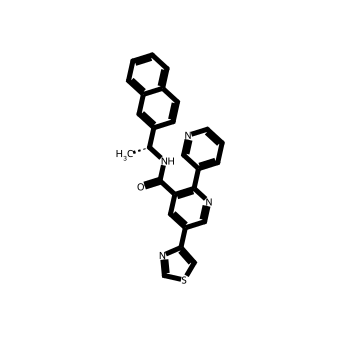 C[C@@H](NC(=O)c1cc(-c2cscn2)cnc1-c1cccnc1)c1ccc2ccccc2c1